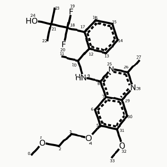 COCCOc1cc2c(NC(C)c3ccccc3C(F)(F)C(C)(C)O)nc(C)nc2cc1OC